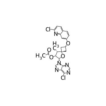 CC(=O)OC1[C@H](n2cnc3c(Cl)ncnc32)O[C@]2(C[C@H](Oc3ccc4ccc(Cl)nc4c3)C2)[C@H]1C